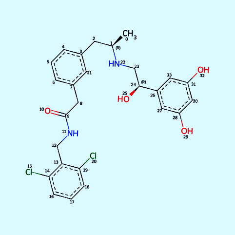 C[C@H](Cc1cccc(CC(=O)NCc2c(Cl)cccc2Cl)c1)NC[C@H](O)c1cc(O)cc(O)c1